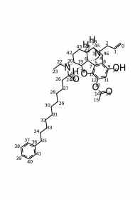 C=CCN1CC[C@]23c4c5c(O)cc(OC(C)=O)c4O[C@H]2[C@H](N(CC)C(=O)CCCCCCCCCCc2ccccc2)CC[C@H]3[C@H]1C5